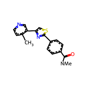 CNC(=O)c1ccc(-c2nc(-c3cnccc3C)cs2)cc1